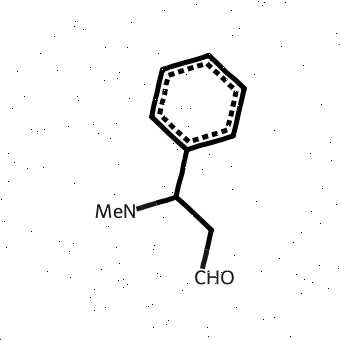 CNC(CC=O)c1ccccc1